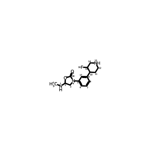 CNC1CN(c2cccc(C3CCNCC3F)c2)C(=O)O1